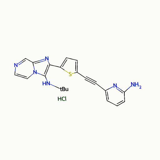 CC(C)(C)Nc1c(-c2ccc(C#Cc3cccc(N)n3)s2)nc2cnccn12.Cl